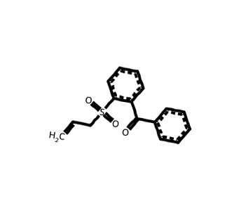 C=CCS(=O)(=O)c1ccccc1C(=O)c1ccccc1